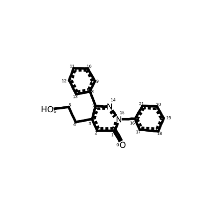 O=c1cc(CCO)c(-c2ccccc2)nn1-c1ccccc1